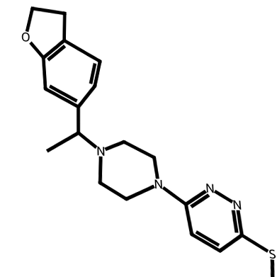 CSc1ccc(N2CCN(C(C)c3ccc4c(c3)OCC4)CC2)nn1